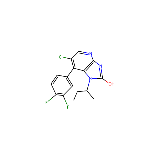 [CH2]C(CC)n1c(O)nc2ncc(Cl)c(-c3ccc(F)c(F)c3)c21